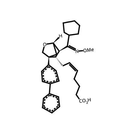 CON=C(C1CCCCC1)[C@@H]1[C@@H]2C[C@@](c3ccc(-c4ccccc4)cc3)(CO2)[C@H]1C/C=C\CCCC(=O)O